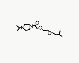 CC(C)CCOCCOCC(=O)N1CCN(C(C)C)CC1